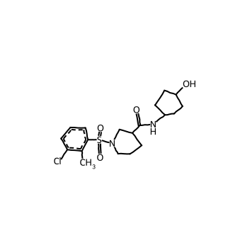 Cc1c(Cl)cccc1S(=O)(=O)N1CCCC(C(=O)NC2CCC(O)CC2)C1